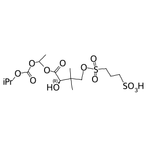 CC(C)OC(=O)OC(C)OC(=O)[C@H](O)C(C)(C)COS(=O)(=O)CCCS(=O)(=O)O